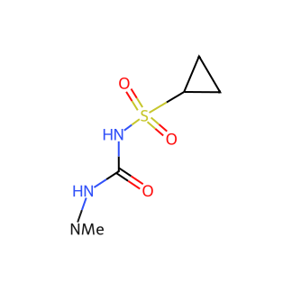 CNNC(=O)NS(=O)(=O)C1CC1